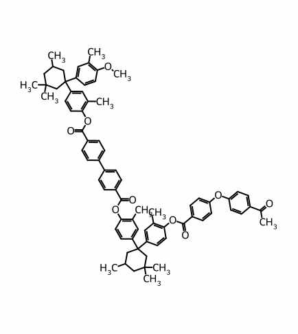 COc1ccc(C2(c3ccc(OC(=O)c4ccc(-c5ccc(C(=O)Oc6ccc(C7(c8ccc(OC(=O)c9ccc(Oc%10ccc(C(C)=O)cc%10)cc9)c(C)c8)CC(C)CC(C)(C)C7)cc6C)cc5)cc4)c(C)c3)CC(C)CC(C)(C)C2)cc1C